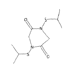 CC(C)SN1CC(=O)N(SC(C)C)CC1=O